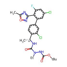 CCN(NC(=O)OC(C)(C)C)C(=O)N[C@H](C)c1ccc(-c2cc(Cl)cc(F)c2-c2noc(C)n2)cc1Cl